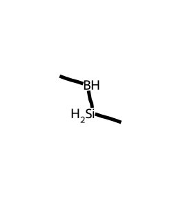 CB[SiH2]C